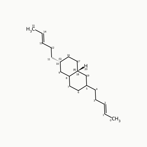 CC=CCCC1CCC2C[C@H](CCC=CC)CC[C@@H]2C1